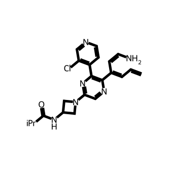 C=C/C=C(\C=C/N)c1ncc(N2CC(NC(=O)C(C)C)C2)nc1-c1ccncc1Cl